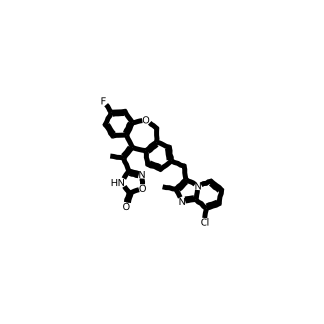 C/C(=C1/c2ccc(Cc3c(C)nc4c(Cl)cccn34)cc2COc2cc(F)ccc21)c1noc(=O)[nH]1